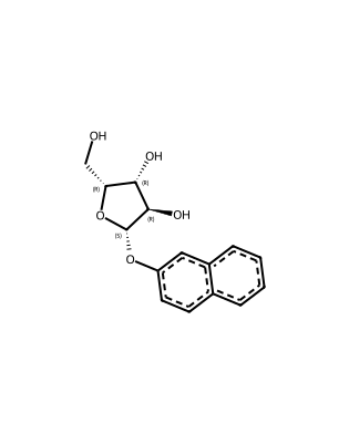 OC[C@H]1O[C@@H](Oc2ccc3ccccc3c2)[C@H](O)[C@H]1O